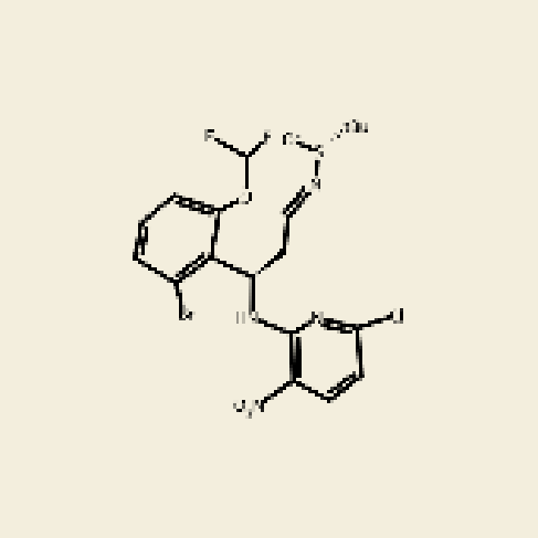 CC(C)(C)[S@@+]([O-])/N=C/C[C@@H](Nc1nc(Cl)ccc1[N+](=O)[O-])c1c(Br)cccc1OC(F)F